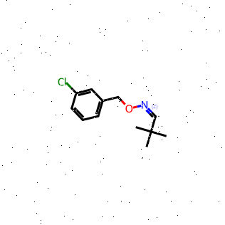 CC(C)(C)/[C]=N\OCc1cccc(Cl)c1